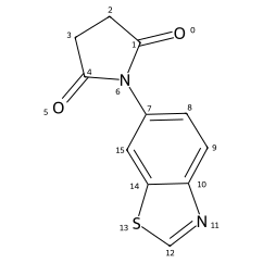 O=C1CCC(=O)N1c1ccc2ncsc2c1